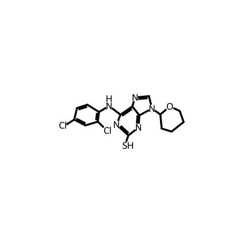 Sc1nc(Nc2ccc(Cl)cc2Cl)c2ncn(C3CCCCO3)c2n1